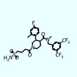 Cc1cc(F)ccc1C1CN(C(=O)CCCS(N)(=O)=O)CCC1C(=O)N(C)Cc1cc(C(F)(F)F)cc(C(F)(F)F)c1